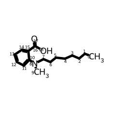 CCCCCCCCN(C)c1ccccc1C(=O)O